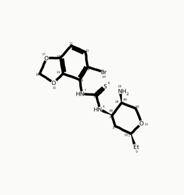 CC[C@H]1C[C@@H](NC(=S)Nc2c(Br)ccc3c2OCO3)[C@@H](N)CO1